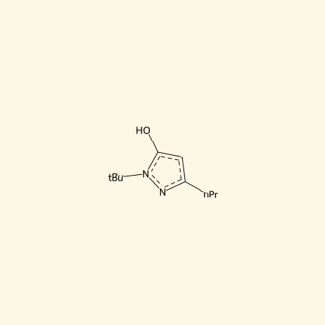 CCCc1cc(O)n(C(C)(C)C)n1